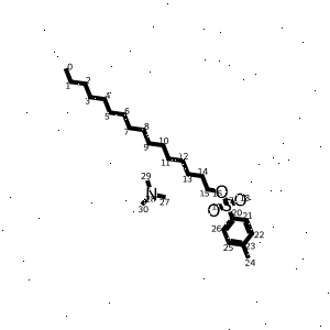 CCCCCCCCCCCCCCCCOS(=O)(=O)c1ccc(C)cc1.CN(C)C